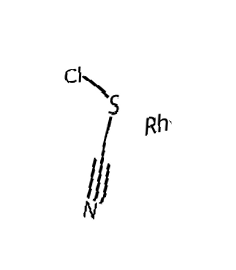 N#CSCl.[Rh]